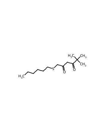 CCCCCCSCC(=O)CC(=O)C(C)(C)C